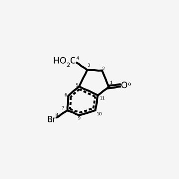 O=C1CC(C(=O)O)c2cc(Br)ccc21